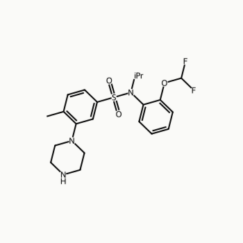 Cc1ccc(S(=O)(=O)N(c2ccccc2OC(F)F)C(C)C)cc1N1CCNCC1